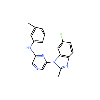 Cc1cccc(Nc2cncc(-n3c(C)nc4ccc(F)cc43)n2)c1